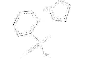 NS(=O)(=O)c1ccccn1.c1cn[nH]c1